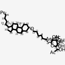 CC(=O)C(O)[C@H]1O[C@@H](SCCCCCCO[C@H]2CC[C@@]3(C)C(=CCC4C3CC[C@@]3(C)C4CC[C@@H]3[C@H](C)CCCC(C)C)C2)[C@@](O)(C(C)=O)[C@](O)(C(C)=O)[C@@]1(O)C(C)=O